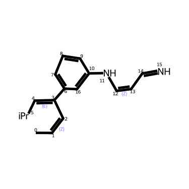 C/C=C\C(=C/C(C)C)c1cccc(N/C=C\C=N)c1